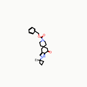 CCC1(n2cc3c(n2)C(=O)CC2(CCN(C(=O)OCc4ccccc4)CC2)C3)CCC1